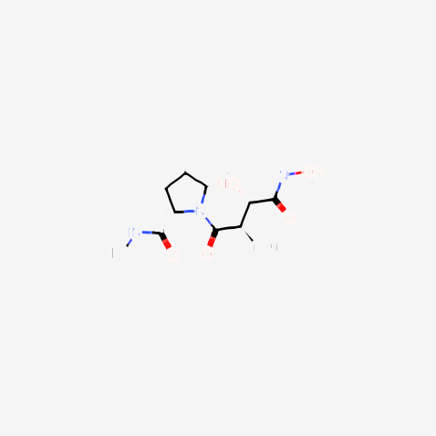 CCCC[C@@H](C(=O)N1CCC[C@H]1C(=O)NCC)[C@H](O)C(=O)NO